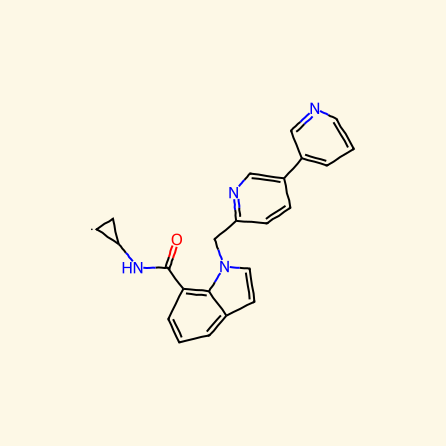 O=C(NC1[CH]C1)c1cccc2ccn(Cc3ccc(-c4cccnc4)cn3)c12